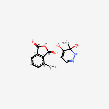 COC1(O)NN=CC=C1O.COc1cccc2c1C(=O)OC2=O